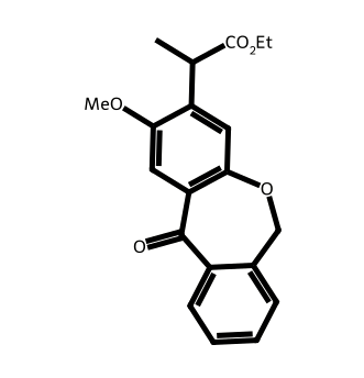 CCOC(=O)C(C)c1cc2c(cc1OC)C(=O)c1ccccc1CO2